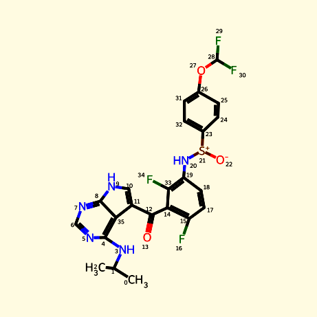 CC(C)Nc1ncnc2[nH]cc(C(=O)c3c(F)ccc(N[S+]([O-])c4ccc(OC(F)F)cc4)c3F)c12